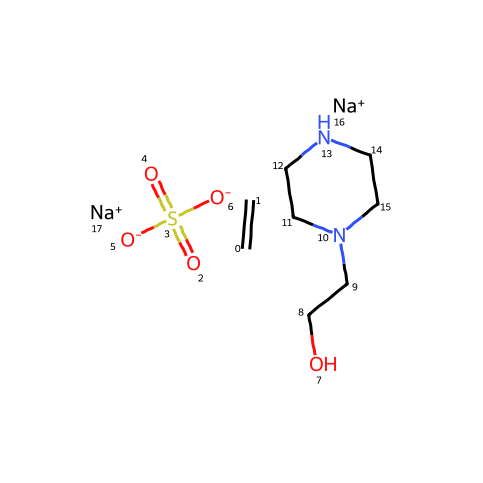 C=C.O=S(=O)([O-])[O-].OCCN1CCNCC1.[Na+].[Na+]